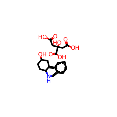 O=C(O)CC(O)(CC(=O)O)C(=O)O.OC1CCC2NC=c3ccccc3=C2C1